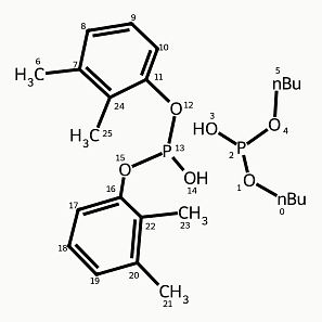 CCCCOP(O)OCCCC.Cc1cccc(OP(O)Oc2cccc(C)c2C)c1C